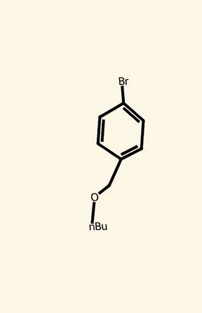 CCCCOCc1ccc(Br)cc1